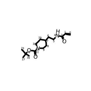 C=CC(=O)NCCC1CCN(C(=O)OC(C)(C)C)CC1